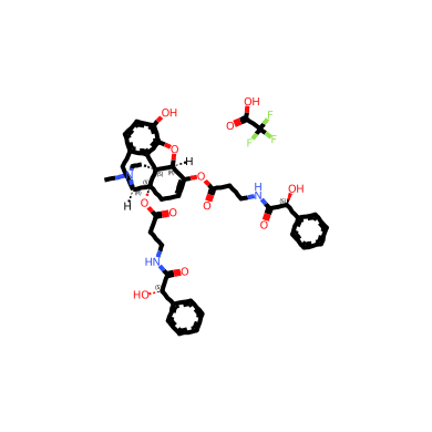 CN1CC[C@]23c4c5ccc(O)c4O[C@H]2C(OC(=O)CCNC(=O)[C@@H](O)c2ccccc2)=CC[C@@]3(OC(=O)CCNC(=O)[C@@H](O)c2ccccc2)[C@H]1C5.O=C(O)C(F)(F)F